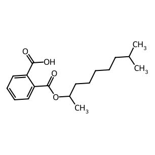 CC(C)CCCCCC(C)OC(=O)c1ccccc1C(=O)O